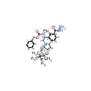 CN(C(=O)OCc1ccccc1)[C@H](CN1CC[C@H](O[Si](C)(C)C(C)(C)C)C1)c1cccc(C(=O)NN)c1